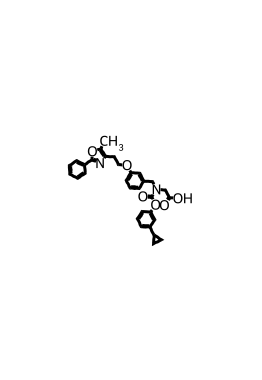 Cc1oc(-c2ccccc2)nc1CCOc1cccc(CN(CC(=O)O)C(=O)Oc2cccc(C3CC3)c2)c1